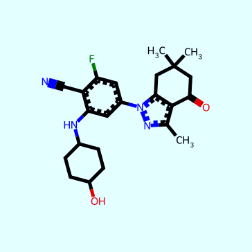 Cc1nn(-c2cc(F)c(C#N)c(NC3CCC(O)CC3)c2)c2c1C(=O)CC(C)(C)C2